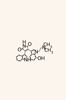 CN(C)CCn1cc(C2=C(c3c[nH]c4ccccc34)C(=O)NC2=O)c2cccc(O)c21